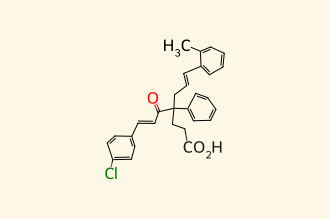 Cc1ccccc1/C=C/CC(CCC(=O)O)(C(=O)C=Cc1ccc(Cl)cc1)c1ccccc1